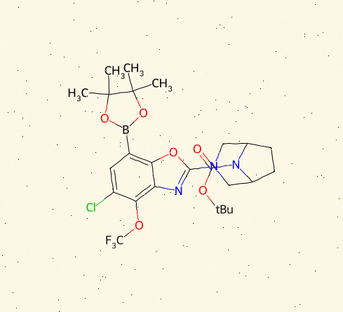 CC(C)(C)OC(=O)N1C2CCC1CN(c1nc3c(OC(F)(F)F)c(Cl)cc(B4OC(C)(C)C(C)(C)O4)c3o1)C2